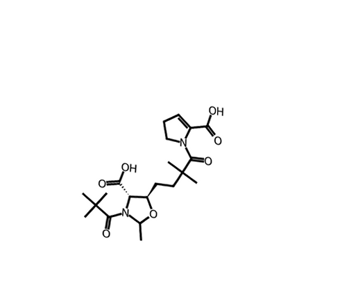 CC1O[C@H](CCC(C)(C)C(=O)N2CCC=C2C(=O)O)[C@@H](C(=O)O)N1C(=O)C(C)(C)C